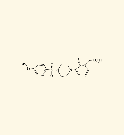 CC(C)Oc1ccc(S(=O)(=O)N2CCN(c3cccn(CC(=O)O)c3=O)CC2)cc1